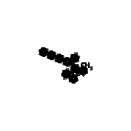 Cc1cccc2oc3c(-n4c5ccccc5c5ccccc54)cc(-n4c5ccccc5c5cc(-c6ccc(-c7ccc(-c8ccccc8)cc7)cc6)ccc54)cc3c12